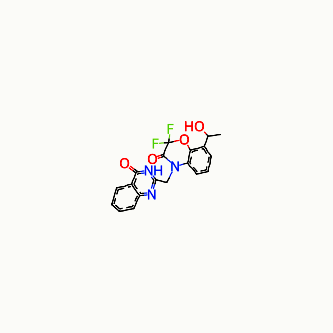 CC(O)c1cccc2c1OC(F)(F)C(=O)N2Cc1nc2ccccc2c(=O)[nH]1